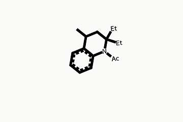 CCC1(CC)CC(C)c2ccccc2N1C(C)=O